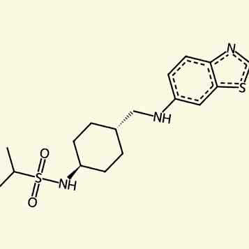 CC(C)S(=O)(=O)N[C@H]1CC[C@H](CNc2ccc3ncsc3c2)CC1